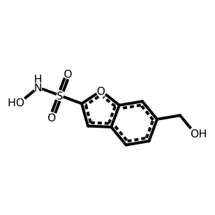 O=S(=O)(NO)c1cc2ccc(CO)cc2o1